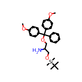 COc1ccc(C(OCC(N)CO[Si](C)(C)C(C)(C)C)(c2ccccc2)c2ccc(OC)cc2)cc1